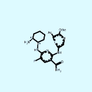 COc1ncc(Nc2nc(N[C@@H]3CCCC[C@@H]3N)c(F)cc2C(N)=O)cc1C(C)=O